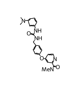 CNC(=O)c1cc(Oc2ccc(CNC(=O)Nc3cccc(N(C)C)c3)cc2)ccn1